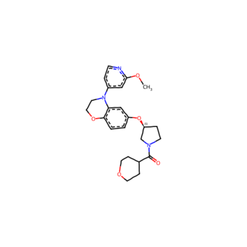 COc1cc(N2CCOc3ccc(O[C@H]4CCN(C(=O)C5CCOCC5)C4)cc32)ccn1